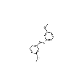 COc1cccc(SSc2cccc(OC)c2)c1